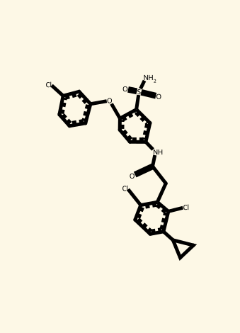 NS(=O)(=O)c1cc(NC(=O)Cc2c(Cl)ccc(C3CC3)c2Cl)ccc1Oc1cccc(Cl)c1